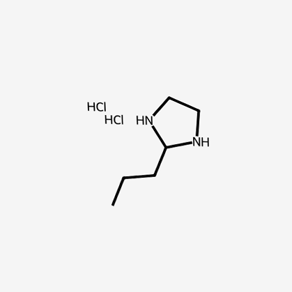 CCCC1NCCN1.Cl.Cl